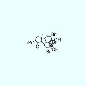 CC(C)C1CCC(C)(c2cc(Br)c(O)c(Br)c2)C(c2cc(Br)c(O)c(Br)c2)C1=O